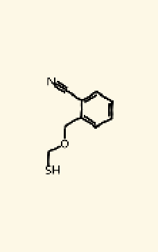 N#Cc1ccccc1COCS